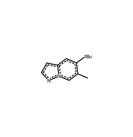 Cc1cn2nccc2cc1C(C)(C)C